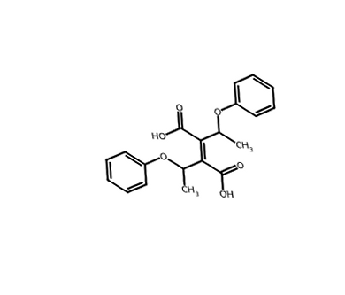 CC(Oc1ccccc1)C(C(=O)O)=C(C(=O)O)C(C)Oc1ccccc1